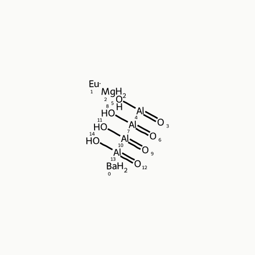 [BaH2].[Eu].[MgH2].[O]=[Al][OH].[O]=[Al][OH].[O]=[Al][OH].[O]=[Al][OH]